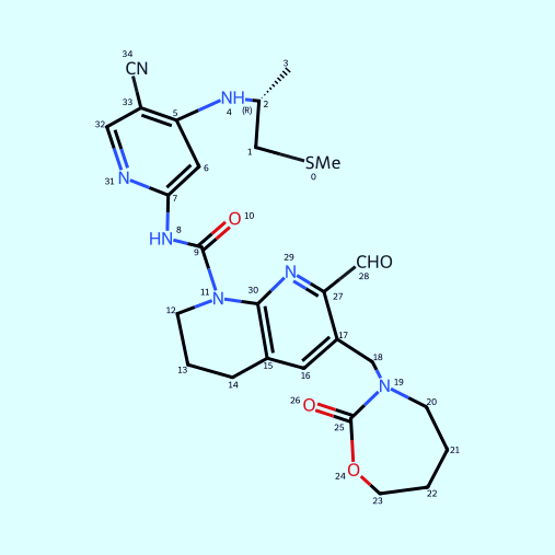 CSC[C@@H](C)Nc1cc(NC(=O)N2CCCc3cc(CN4CCCCOC4=O)c(C=O)nc32)ncc1C#N